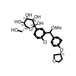 COC(c1ccc(O[C@H]2CCOC2)cc1)c1cc([C@]2(O)O[C@H](CO)[C@@H](O)[C@H](O)[C@H]2O)ccc1Cl